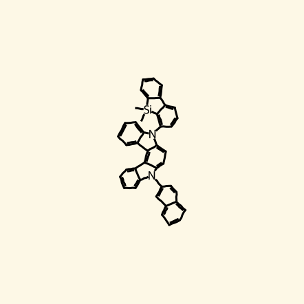 C[Si]1(C)c2ccccc2-c2cccc(-n3c4ccccc4c4c5c6ccccc6n(-c6ccc7ccccc7c6)c5ccc43)c21